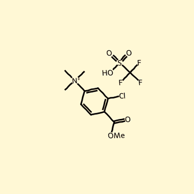 COC(=O)c1ccc([N+](C)(C)C)cc1Cl.O=S(=O)(O)C(F)(F)F